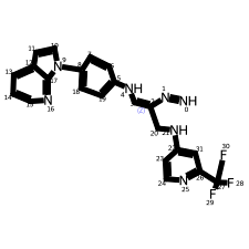 N=N/C(=C\Nc1ccc(-n2ccc3cccnc32)cc1)CNc1ccnc(C(F)(F)F)c1